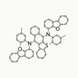 Cc1ccc(C)c(N(c2cccc3c2oc2ccccc23)c2c3ccccc3c(N(c3cc(C)ccc3C)c3cccc4c3oc3ccccc34)c3c2sc2ccccc23)c1